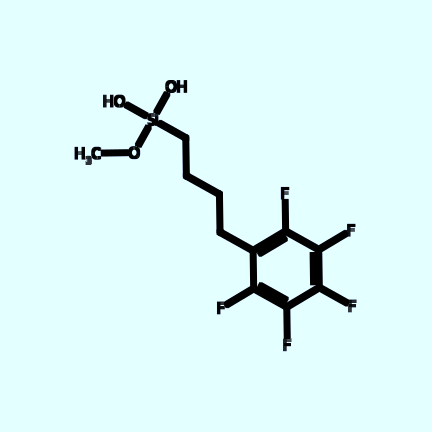 CO[Si](O)(O)CCCCc1c(F)c(F)c(F)c(F)c1F